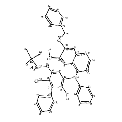 COc1cc2c(N(c3ccccc3)c3cc(O[SiH2]C(C)(C)C)c(Cl)c(-c4ccccc4)c3F)ncnc2cc1OCc1ccccc1